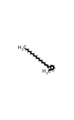 CCCCCCCCCCCCCCCCCC[n+]1ccccc1C